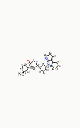 N#Cc1ccc2oc3ccc(-c4cccc(-n5c6ccccc6c6cccnc65)c4)cc3c2c1